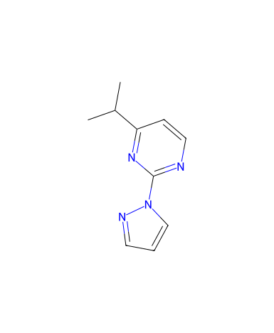 CC(C)c1ccnc(-n2cccn2)n1